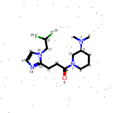 CN(C)[C@H]1CCCN(C(=O)CCc2nccn2CC(F)F)C1